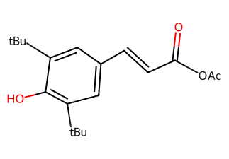 CC(=O)OC(=O)C=Cc1cc(C(C)(C)C)c(O)c(C(C)(C)C)c1